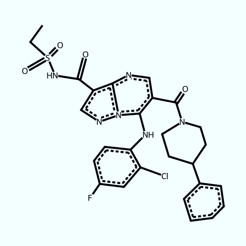 CCS(=O)(=O)NC(=O)c1cnn2c(Nc3ccc(F)cc3Cl)c(C(=O)N3CCC(c4ccccc4)CC3)cnc12